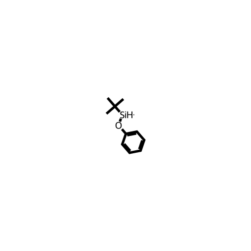 CC(C)(C)[SiH]Oc1ccccc1